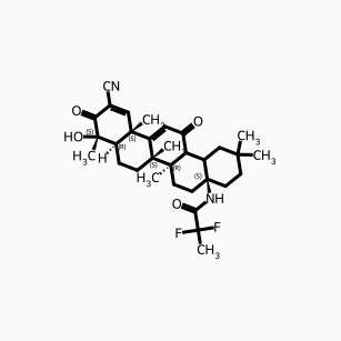 CC1(C)CC[C@]2(NC(=O)C(C)(F)F)CC[C@]3(C)C(C(=O)C=C4[C@@]5(C)C=C(C#N)C(=O)[C@@](C)(O)[C@@H]5CC[C@]43C)C2C1